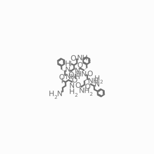 NCCCC(I)[C@H](NC(=O)[C@H](Cc1ccccc1)NC(=O)[C@@H](NC(=O)[C@H](Cc1ccccc1)NC(=O)[C@H](CCC(N)=O)NC(=O)[C@@H](N)Cc1ccccc1)C(I)CC(N)=O)C(N)=O